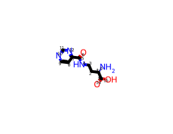 N[C@@H](CCNC(=O)c1ccncn1)C(=O)O